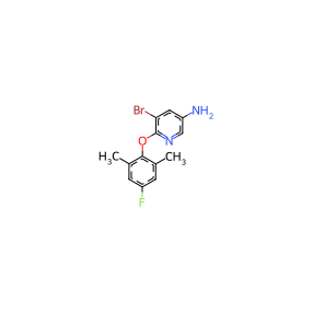 Cc1cc(F)cc(C)c1Oc1ncc(N)cc1Br